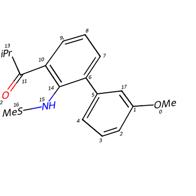 COc1cccc(-c2cc[c]c(C(=O)C(C)C)c2NSC)c1